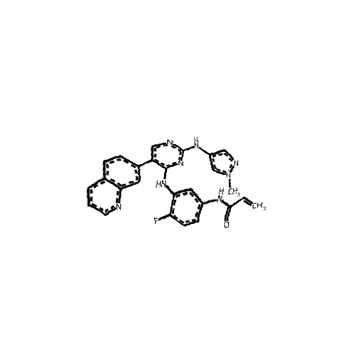 C=CC(=O)Nc1ccc(F)c(Nc2nc(Nc3cnn(C)c3)ncc2-c2ccc3cccnc3c2)c1